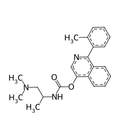 Cc1ccccc1-c1ncc(OC(=O)NC(C)CN(C)C)c2ccccc12